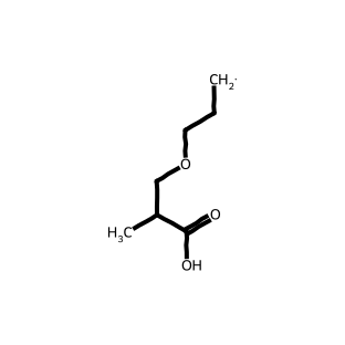 [CH2]CCOCC(C)C(=O)O